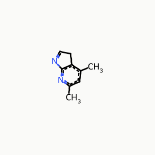 Cc1cc(C)c2c(n1)N=CC2